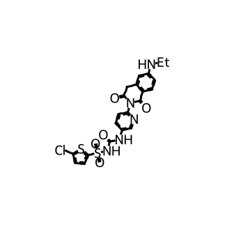 CCNc1ccc2c(c1)CC(=O)N(c1ccc(NC(=O)NS(=O)(=O)c3ccc(Cl)s3)cn1)C2=O